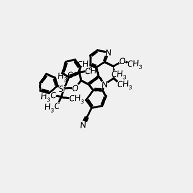 CCn1c(-c2cccnc2[C@H](C)OC)c(C(O[Si](c2ccccc2)(c2ccccc2)C(C)(C)C)C(C)(C)C)c2cc(C#N)ccc21